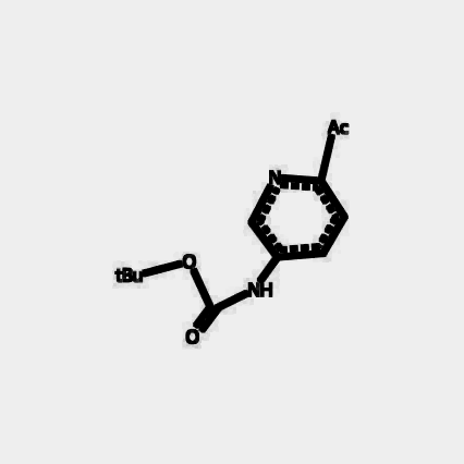 [CH2]C(=O)c1ccc(NC(=O)OC(C)(C)C)cn1